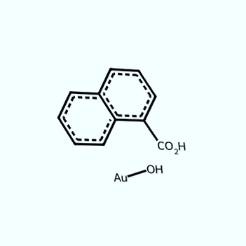 O=C(O)c1cccc2ccccc12.[OH][Au]